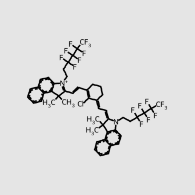 CC1(C)C(/C=C/C2=C(Cl)C(=C/C=C3/N(CCC(F)(F)C(F)(F)C(F)(F)C(F)(F)F)c4ccc5ccccc5c4C3(C)C)/CCC2)=[N+](CCC(F)(F)C(F)(F)C(F)(F)C(F)(F)F)c2ccc3ccccc3c21